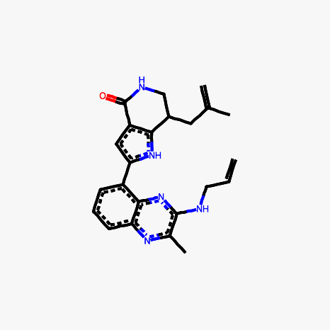 C=CCNc1nc2c(-c3cc4c([nH]3)C(CC(=C)C)CNC4=O)cccc2nc1C